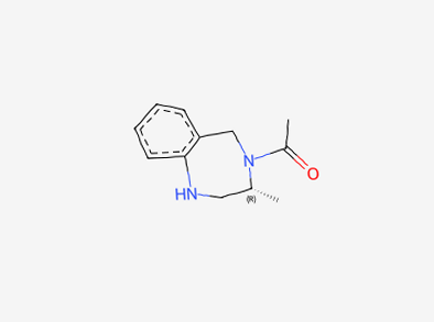 CC(=O)N1Cc2ccccc2NC[C@H]1C